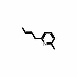 C/C=C/Cc1cccc(C)n1